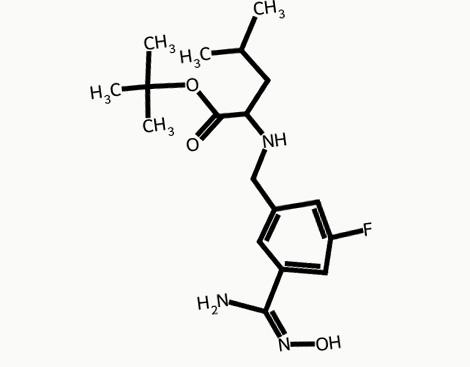 CC(C)CC(NCc1cc(F)cc(/C(N)=N\O)c1)C(=O)OC(C)(C)C